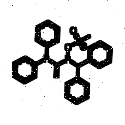 C=C(P(c1ccccc1)c1ccccc1)P(OS(C)(=O)=O)C(c1ccccc1)c1ccccc1